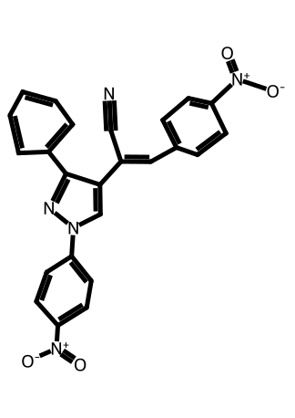 N#CC(=Cc1ccc([N+](=O)[O-])cc1)c1cn(-c2ccc([N+](=O)[O-])cc2)nc1-c1ccccc1